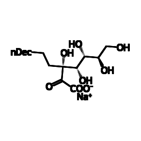 CCCCCCCCCCCC[C@](O)(C(=O)C(=O)[O-])[C@@H](O)[C@H](O)[C@H](O)CO.[Na+]